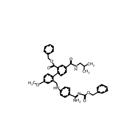 COc1ccc(-c2ccc(C(=O)NCC(C)C)cc2C(=O)OCc2ccccc2)c(CNc2ccc(C(N)=NC(=O)OCc3ccccc3)cc2)c1